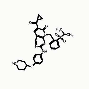 CC(C)S(=O)(=O)c1ccccc1Cn1c(=O)c(C(=O)C2CC2)cc2cnc(Nc3ccc(OC4CCNCC4)cc3)nc21